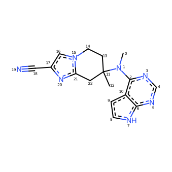 CN(c1ncnc2[nH]ccc12)C1(C)CCn2cc(C#N)nc2C1